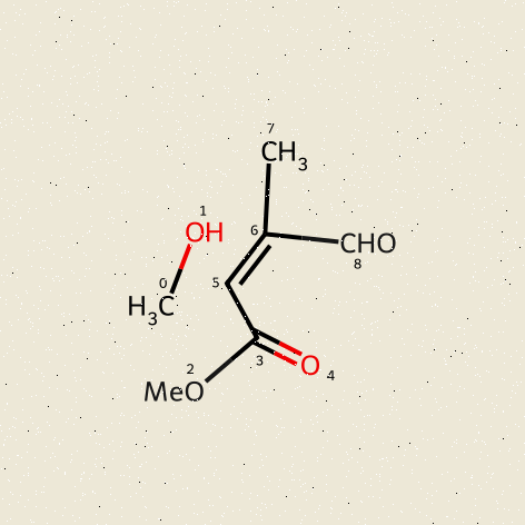 CO.COC(=O)/C=C(/C)C=O